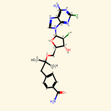 NC(=O)c1ccc(CC(OC[C@H]2O[C@@H](n3cnc4c(N)nc(Cl)nc43)[C@@H](F)[C@@H]2O)(C(=O)O)C(=O)O)cc1